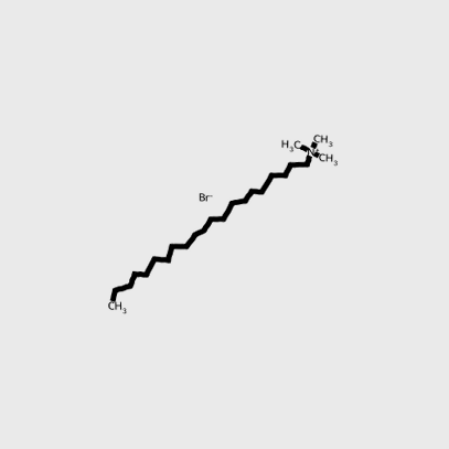 CCCCCCCCCCCCCCCCCCCCC[N+](C)(C)C.[Br-]